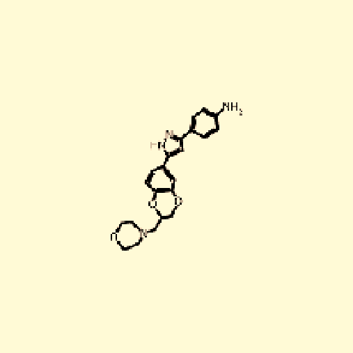 Nc1ccc(-c2cc(-c3ccc4c(c3)OCC(CN3CCOCC3)O4)[nH]n2)cc1